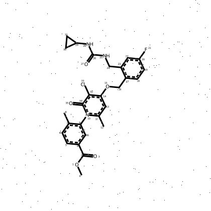 COC(=O)c1ccc(C)c(-n2c(C)cc(OCc3ccc(F)cc3CNC(=O)NC3CC3)c(Cl)c2=O)c1